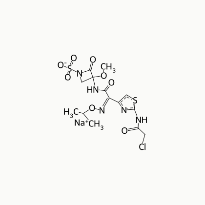 COC1(NC(=O)C(=NOC(C)C)c2csc(NC(=O)CCl)n2)CN(S(=O)(=O)[O-])C1=O.[Na+]